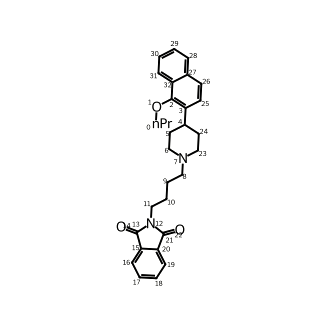 CCCOc1c(C2CCN(CCCCN3C(=O)c4ccccc4C3=O)CC2)ccc2ccccc12